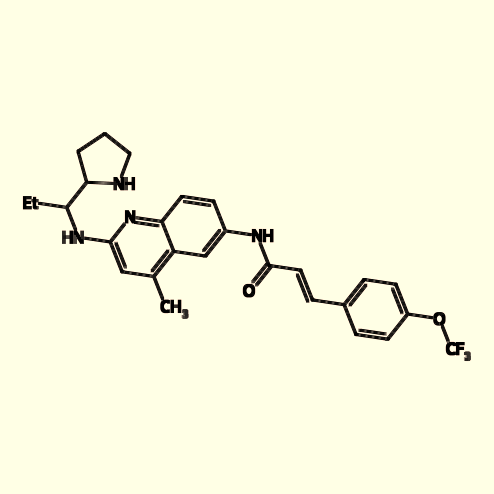 CCC(Nc1cc(C)c2cc(NC(=O)C=Cc3ccc(OC(F)(F)F)cc3)ccc2n1)C1CCCN1